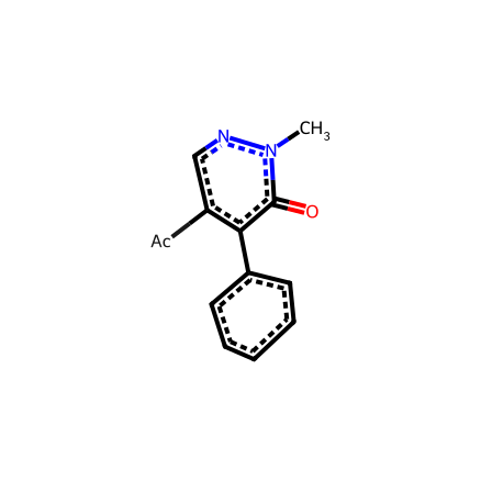 CC(=O)c1cnn(C)c(=O)c1-c1ccccc1